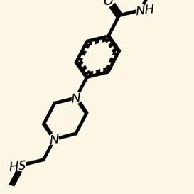 C=[SH]CN1CCN(c2ccc(C(=O)NC(C)C)cc2)CC1